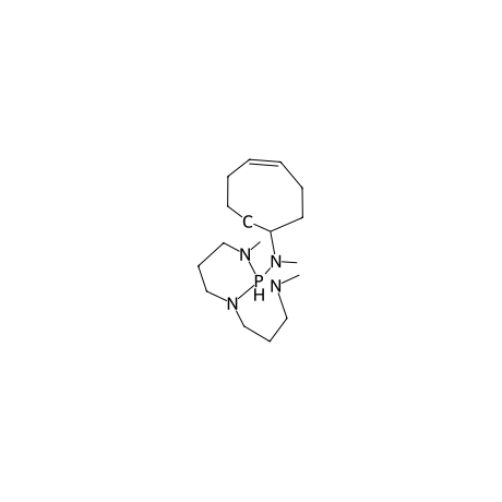 CN1CCCN2CCCN(C)[PH]12N(C)C1CC/C=C\CCC1